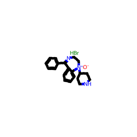 Br.[O-][N+]1(C2CCNCC2)CCN=C(c2ccccc2)c2ccccc21